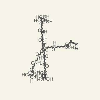 C=C(C#CC(C)=C=C(C)C)COP(=O)(O)OCCCCCCNC(=O)CCCC(=O)NC(COCCC(=O)NCCCNC(=O)CCCO[C@@H]1OC(CO)[C@@H](O)C(O)C1O)(COCCC(=O)NCCCNC(=O)CCCO[C@@H]1OC(CO)[C@@H](O)C(O)C1O)COCCC(=O)NCCCNC(=O)CCCO[C@@H]1OC(CO)[C@@H](O)C(O)C1O